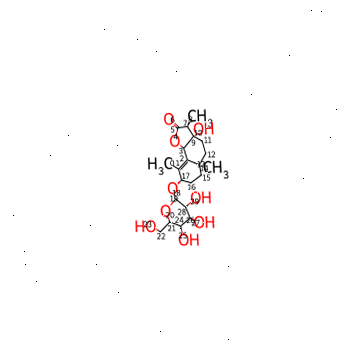 CC1=C2C3OC(=O)[C@@H](C)C3(O)CC[C@@]2(C)CC[C@H]1O[C@H]1OC(CO)C(O)C(O)C1O